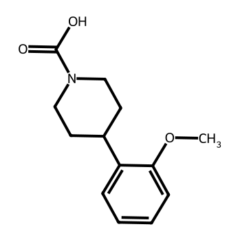 COc1ccccc1C1CCN(C(=O)O)CC1